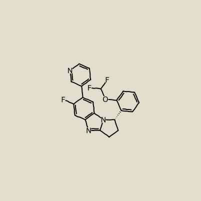 Fc1cc2nc3n(c2cc1-c1cccnc1)[C@H](c1ccccc1OC(F)F)CC3